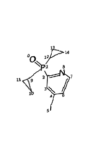 O=P(c1cc(I)ccn1)(C1CC1)C1CC1